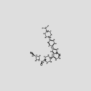 CC(C)N1CCN(c2ccc(-c3cc4c(N5CCN(C(=O)[C@H]6C[C@H](C#N)C6)CC5)ccnn4c3)cc2)CC1